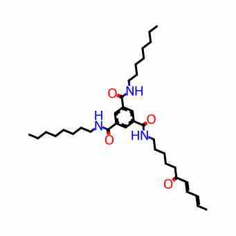 CC=CC=CC(=O)CCCCCNC(=O)c1cc(C(=O)NCCCCCCCC)cc(C(=O)NCCCCCCCC)c1